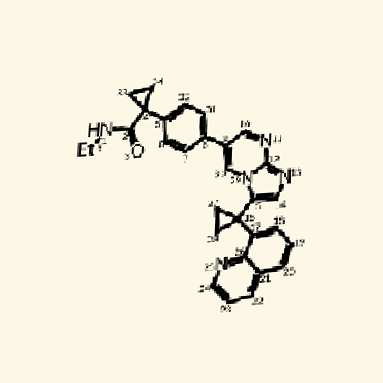 CCNC(=O)C1(c2ccc(-c3cnc4ncc(C5(c6cccc7cccnc67)CC5)n4c3)cc2)CC1